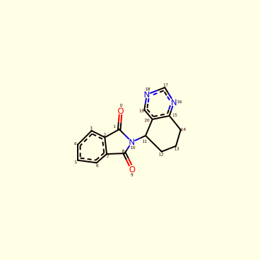 O=C1c2ccccc2C(=O)N1C1CCCc2ncncc21